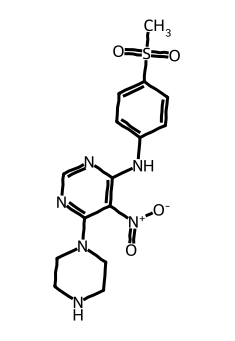 CS(=O)(=O)c1ccc(Nc2ncnc(N3CCNCC3)c2[N+](=O)[O-])cc1